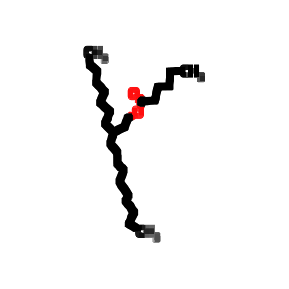 CCCCCCCCCCC(CCCCCCCC)CCOC(=O)CCCCC